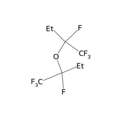 CCC(F)(OC(F)(CC)C(F)(F)F)C(F)(F)F